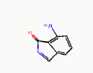 Nc1cccc2c1C(=O)N=C2